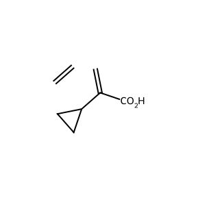 C=C.C=C(C(=O)O)C1CC1